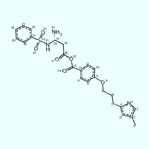 Cn1cnc(CCCOc2ccc(C(=O)OC(=O)C[C@@H](N)NS(=O)(=O)c3ccccc3)cc2)c1